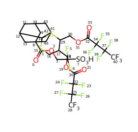 O=C(OCC(F)(F)S(=O)(=O)O)C12CC3CC(C1)C1(SCC(COC(=O)C(F)(F)C(F)(F)C(F)(F)F)C(COC(=O)C(F)(F)C(F)(F)C(F)(F)F)S1)C(C3)C2